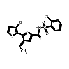 C/C=C1\C=C(C(=O)NS(=O)(=O)c2ccccc2Cl)N=C1c1sccc1Cl